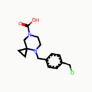 O=C(O)N1CCN(Cc2ccc(CCl)cc2)C2(CC2)C1